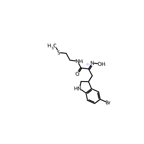 CSCCNC(=O)/C(CC1CNc2ccc(Br)cc21)=N/O